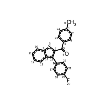 Cc1ccc(C(=O)c2sc3c[c]ccc3c2-c2ccc(F)cc2)cc1